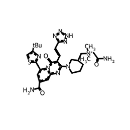 CC(C)(C)c1csc(-c2cc(C(N)=O)cc3nc(N4CCCC(C[N+](C)(C)CC(N)=O)C4)c(C=Cc4nn[nH]n4)c(=O)n23)n1